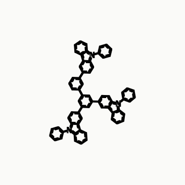 c1ccc(-n2c3ccccc3c3cc(-c4cccc(-c5cc(-c6ccc7c(c6)c6ccccc6n7-c6ccccc6)cc(-c6ccc7c(c6)c6ccccc6n7-c6ccccc6)c5)c4)ccc32)cc1